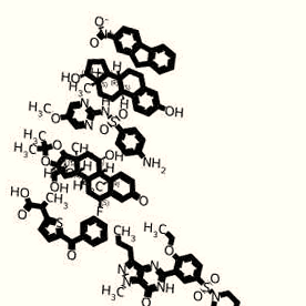 CC(C(=O)O)c1ccc(C(=O)c2ccccc2)s1.CC1(C)O[C@@H]2C[C@H]3[C@@H]4C[C@H](F)C5=CC(=O)C=C[C@]5(C)[C@H]4[C@@H](O)C[C@]3(C)[C@]2(C(=O)CO)O1.CCCc1nn(C)c2c(=O)[nH]c(-c3cc(S(=O)(=O)N4CCN(C)CC4)ccc3OCC)nc12.COc1cnc(NS(=O)(=O)c2ccc(N)cc2)nc1.C[C@]12CC[C@@H]3c4ccc(O)cc4CC[C@H]3[C@@H]1CC[C@@H]2O.O=[N+]([O-])c1ccc2c(c1)Cc1ccccc1-2